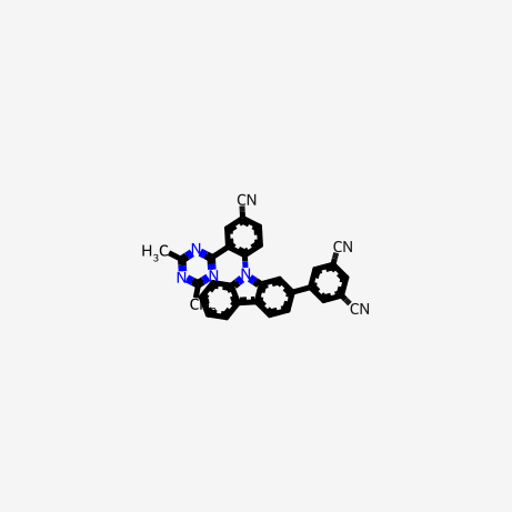 Cc1nc(C)nc(-c2cc(C#N)ccc2-n2c3ccccc3c3ccc(-c4cc(C#N)cc(C#N)c4)cc32)n1